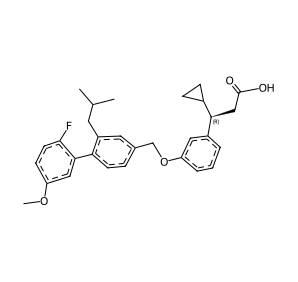 COc1ccc(F)c(-c2ccc(COc3cccc([C@H](CC(=O)O)C4CC4)c3)cc2CC(C)C)c1